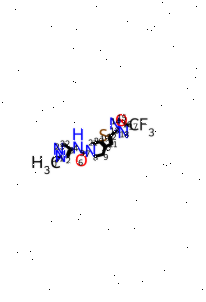 Cn1cc(NC(=O)N2CCc3cc(-c4noc(C(F)(F)F)n4)sc3C2)cn1